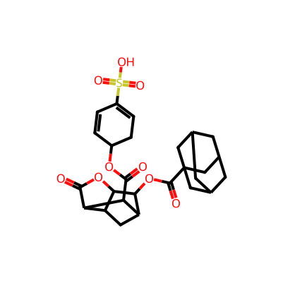 O=C1OC2C3CC(C2OC(=O)C24CC5CC(CC(C5)C2)C4)C(C(=O)OC2C=CC(S(=O)(=O)O)=CC2)C13